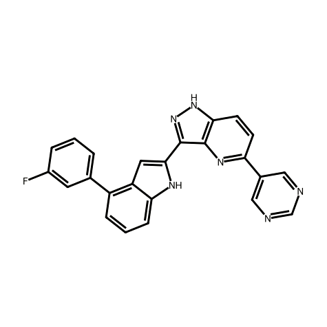 Fc1cccc(-c2cccc3[nH]c(-c4n[nH]c5ccc(-c6cncnc6)nc45)cc23)c1